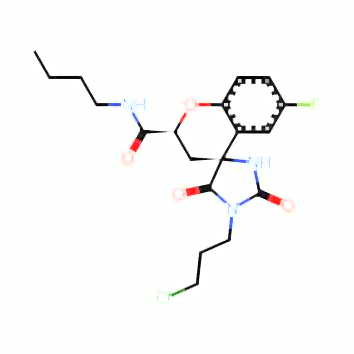 CCCCNC(=O)[C@@H]1C[C@]2(NC(=O)N(CCCCl)C2=O)c2cc(F)ccc2O1